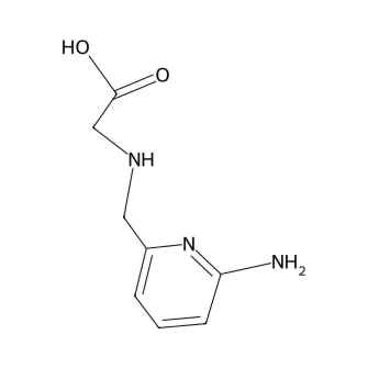 Nc1cccc(CNCC(=O)O)n1